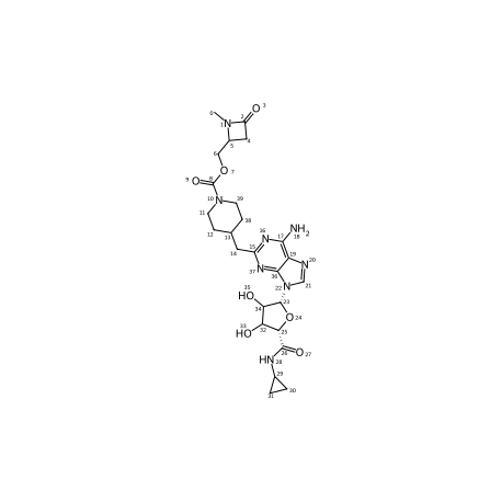 CN1C(=O)CC1COC(=O)N1CCC(Cc2nc(N)c3ncn([C@@H]4O[C@H](C(=O)NC5CC5)C(O)C4O)c3n2)CC1